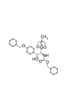 CC12COC([C@@H](NC(=O)OCc3ccccc3)[C@@H](O)c3ccc(OCc4ccccc4)cc3)(OC1)OC2